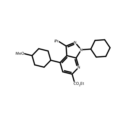 CCOC(=O)c1cc(C2CCC(OC)CC2)c2c(C(C)C)nn(C3CCCCC3)c2n1